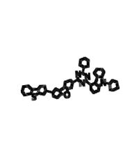 c1ccc(-c2nc(-c3ccc4c(c3)oc3ccc(-c5ccc6c(c5)sc5ccccc56)cc34)nc(-c3cccc4c3c3ccccc3n4-c3ccccc3)n2)cc1